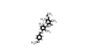 COCc1c(C)nc(Nc2c(C)ccc(OCc3ccc(OC)cc3)c2C)c(Br)c1C